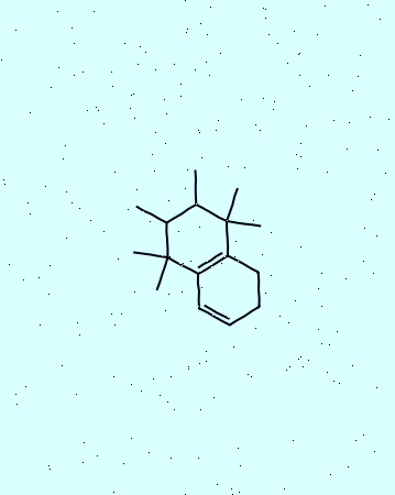 CC1C(C)C(C)(C)C2=C(C=CCC2)C1(C)C